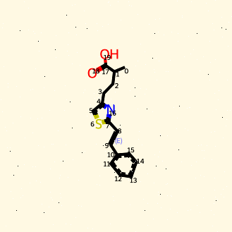 CC(CCc1csc(/C=C/c2ccccc2)n1)C(=O)O